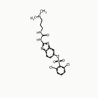 CN(C)CCCNC(=O)Nc1nc2ccc(OS(=O)(=O)c3c(Cl)cccc3Cl)cc2s1